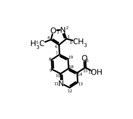 Cc1noc(C)c1-c1ccc2nccc(C(=O)O)c2c1